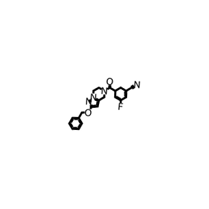 N#CC1=CC(F)=CC(C(=O)N2CCn3nc(OCc4ccccc4)cc3C2)C1